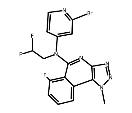 Cn1nnc2nc(N(CC(F)F)c3ccnc(Br)c3)c3c(F)cccc3c21